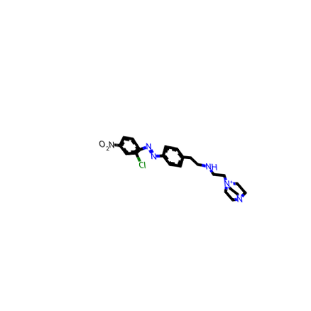 O=[N+]([O-])c1ccc(N=Nc2ccc(CCNCC[N+]34CCN(CC3)CC4)cc2)c(Cl)c1